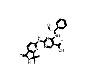 O=C(O)c1cnc(Nc2ccc3c(n2)C(F)(F)NC3=O)nc1N[C@H](CO)c1ccccc1